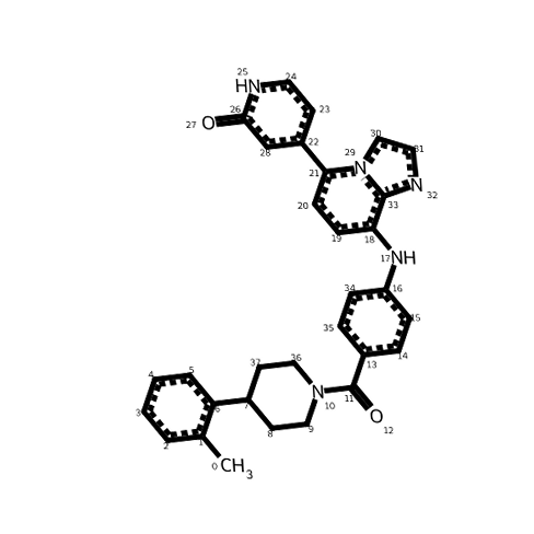 Cc1ccccc1C1CCN(C(=O)c2ccc(Nc3ccc(-c4cc[nH]c(=O)c4)n4ccnc34)cc2)CC1